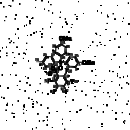 COc1ccc(S(OS(=O)(=O)c2c(F)c(F)c(F)c(F)c2F)(c2ccc(C)cc2)c2ccc(OC)cc2)cc1